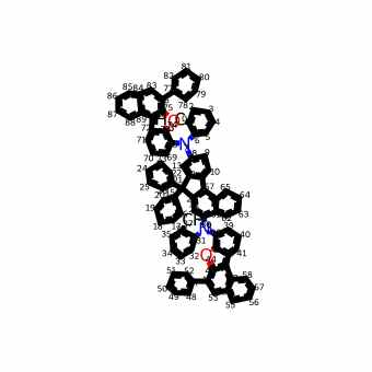 Cc1ccccc1N(c1ccc2c(c1)C(c1ccccc1)(c1ccccc1)c1cc(N(c3ccccc3C)c3cccc4c3oc3c(-c5ccccc5)cc5ccccc5c34)c3ccccc3c1-2)c1cccc2c1oc1c(-c3ccccc3)cc3ccccc3c12